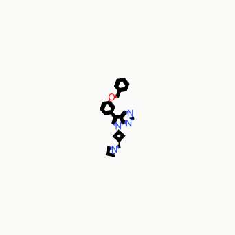 c1ccc(COc2cccc(-c3cn([C@H]4C[C@H](CN5CCC5)C4)c4ncncc34)c2)cc1